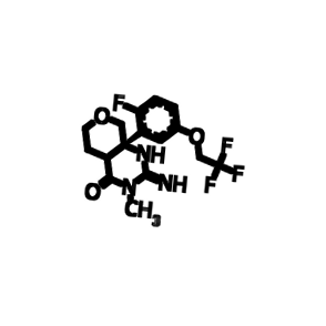 CN1C(=N)N[C@@]2(c3cc(OCC(F)(F)F)ccc3F)COCCC2C1=O